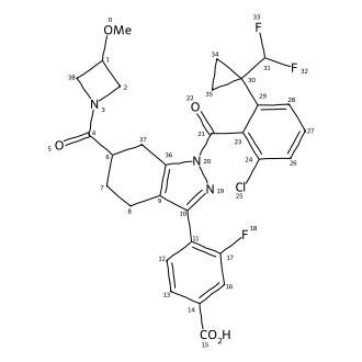 COC1CN(C(=O)C2CCc3c(-c4ccc(C(=O)O)cc4F)nn(C(=O)c4c(Cl)cccc4C4(C(F)F)CC4)c3C2)C1